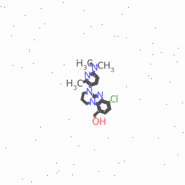 Cc1nc(N(C)C)ccc1N1CCCn2c1nc1c(Cl)ccc(CO)c12